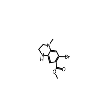 COC(=O)c1cc2c(cc1Br)N(C)CCN2